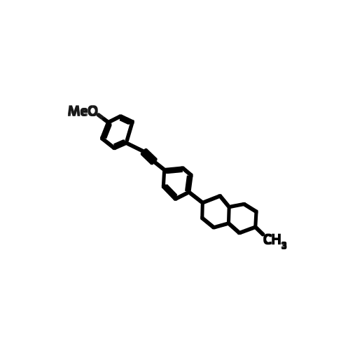 COc1ccc(C#Cc2ccc(C3CCC4CC(C)CCC4C3)cc2)cc1